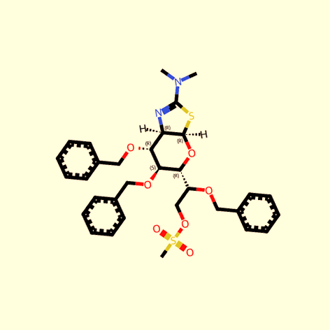 CN(C)C1=N[C@@H]2[C@@H](OCc3ccccc3)[C@H](OCc3ccccc3)[C@@H](C(COS(C)(=O)=O)OCc3ccccc3)O[C@@H]2S1